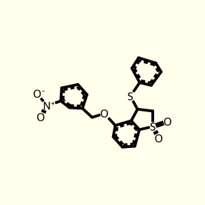 O=[N+]([O-])c1cccc(COc2cccc3c2C(Sc2ccccc2)CS3(=O)=O)c1